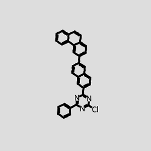 Clc1nc(-c2ccccc2)nc(-c2ccc3cc(-c4ccc5ccc6ccccc6c5c4)ccc3c2)n1